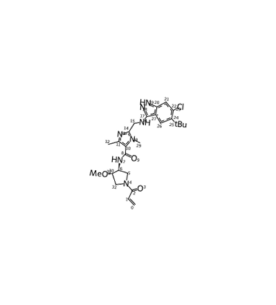 C=CC(=O)N1C[C@H](NC(=O)c2c(C)nc(CNc3n[nH]c4cc(Cl)c(C(C)(C)C)cc34)n2C)[C@H](OC)C1